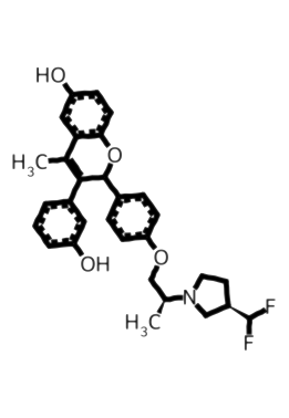 CC1=C(c2cccc(O)c2)C(c2ccc(OC[C@H](C)N3CC[C@@H](C(F)F)C3)cc2)Oc2ccc(O)cc21